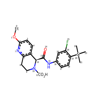 CCOc1ccc2c(n1)CCN(C(=O)O)[C@@H]2C(=O)Nc1ccc([Si](C)(C)C)c(F)c1